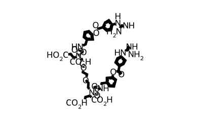 N=C(N)Nc1ccc(C(=O)Oc2cccc(CNS(=O)(=O)N(CCOCCOCCN(C(CC(=O)O)C(=O)O)S(=O)(=O)NCc3cccc(OC(=O)c4ccc(NC(=N)N)cc4)c3)C(CC(=O)O)C(=O)O)c2)cc1